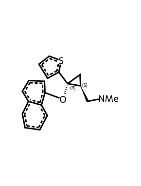 CNC[C@@H]1C[C@]1(Oc1cccc2ccccc12)c1cccs1